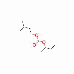 CCC(C)OC(=O)OCCC(C)C